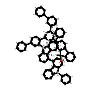 CC1(C)c2ccccc2-c2ccc(-c3nc(-c4cccc(-c5ccccc5)c4)nc(-c4ccc(-c5ccccc5)cc4-n4c5cc(-c6ccccc6)ccc5c5c(-c6cccc7c6c6ccccc6n7-c6ccccc6)cccc54)n3)cc21